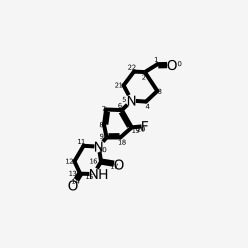 O=CC1CCN(c2ccc(N3CCC(=O)NC3=O)cc2F)CC1